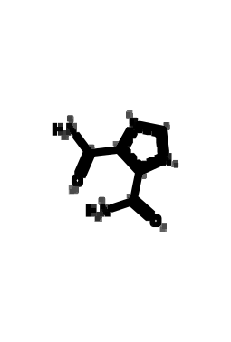 NC(=O)c1ncsc1C(N)=O